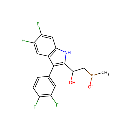 C[S+]([O-])CC(O)c1[nH]c2cc(F)c(F)cc2c1-c1ccc(F)c(F)c1